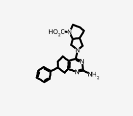 Nc1nc2c(c(N3CC4CCCN(C(=O)O)C4C3)n1)CCC(c1ccccc1)C2